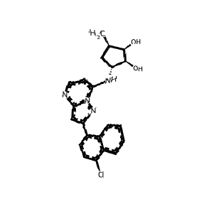 [CH2][C@@H]1C[C@@H](Nc2ccnc3cc(-c4ccc(Cl)c5ccccc45)nn23)[C@H](O)[C@@H]1O